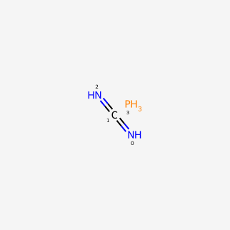 N=C=N.P